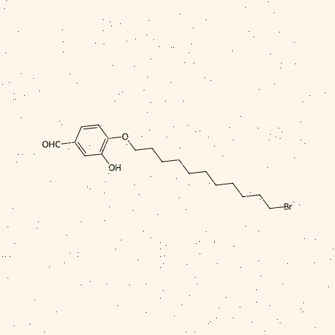 O=Cc1ccc(OCCCCCCCCCCCBr)c(O)c1